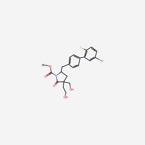 CC(C)(C)OC(=O)N1C(=O)C(CO)(CCO)CC1Cc1ccc(-c2cc(Cl)ccc2F)cc1